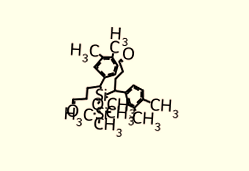 Cc1ccc(C(CCC=O)[Si](C)(O[Si](C)(C)C)C(CCC=O)c2ccc(C)c(C)c2)cc1C